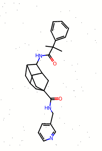 CC(C)(C(=O)NC1C2CC3CC1CC(C(=O)NCc1cccnc1)(C3)C2)c1ccccc1